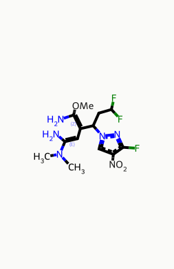 CO/C(N)=C(/C=C(\N)N(C)C)C(CC(F)F)n1cc([N+](=O)[O-])c(F)n1